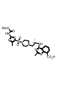 COC(=O)Nc1nc(C)c(S(=O)(=O)N2CCN(C[C@H](C)Nc3nc(C)nc4c(C(=O)O)cccc34)CC2)s1